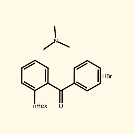 Br.CCCCCCc1ccccc1C(=O)c1ccccc1.CN(C)C